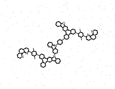 Cc1cc(-c2ccc3ccc4cccnc4c3n2)c(C)cc1-c1ccc2c(c1)c1ccc(-c3ccc(-n4c5ccccc5c5cc(-n6c7ccccc7c7cc8c9ccccc9c9cc(-c%10cc(C)c(-c%11ccc%12ccc%13cccnc%13c%12n%11)cc%10C)ccc9c8cc76)ccc54)cc3)cc1c1cc3c(cc21)oc1ccccc13